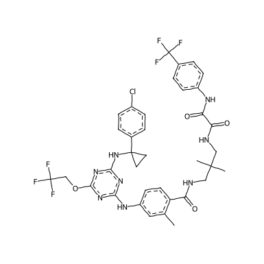 Cc1cc(Nc2nc(NC3(c4ccc(Cl)cc4)CC3)nc(OCC(F)(F)F)n2)ccc1C(=O)NCC(C)(C)CNC(=O)C(=O)Nc1ccc(C(F)(F)F)cc1